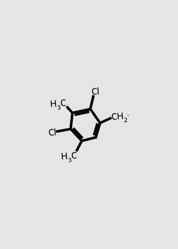 [CH2]c1cc(C)c(Cl)c(C)c1Cl